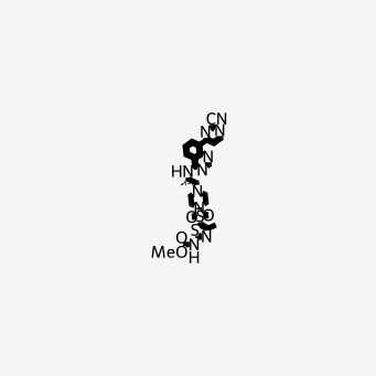 COC(=O)Nc1nc(C)c(S(=O)(=O)N2CCN(C[C@H](C)Nc3ncnc4c(-c5ccnc(C#N)n5)cccc34)CC2)s1